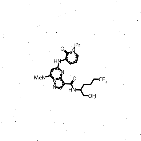 CNc1cc(Nc2cccn(C(C)C)c2=O)nc2c(C(=O)NC(CO)CCCC(F)(F)F)cnn12